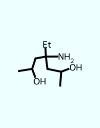 CCC(N)(CC(C)O)CC(C)O